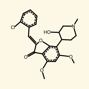 COc1cc(OC)c(C2CCN(C)CC2O)c2c1C(=O)C(=Cc1ccccc1Cl)O2